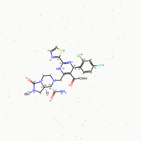 COC(=O)C1=C(CN2CCN3C(=O)N(C(C)(C)C)C[C@@H]3[C@H]2C(N)=O)NC(c2nccs2)=N[C@H]1c1ccc(F)cc1Cl